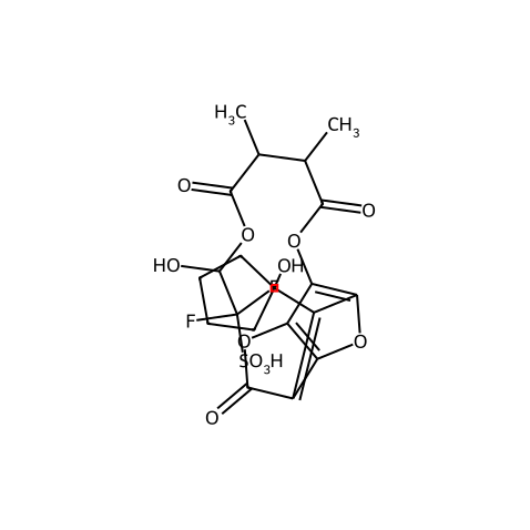 CC(C(=O)Oc1c2c3oc1c(C1(O)CCCC1)c3C(=O)O2)C(C)C(=O)OC(O)C(F)(F)S(=O)(=O)O